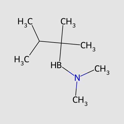 CC(C)C(C)(C)BN(C)C